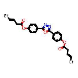 CCC=CCC(=O)Oc1ccc(-c2nnc(-c3ccc(OC(=O)CC=CCC)cc3)o2)cc1